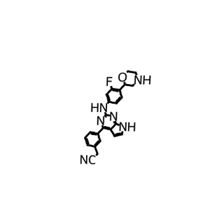 N#CCc1cccc(-c2nc(Nc3ccc(C4CNCCO4)c(F)c3)nc3[nH]ccc23)c1